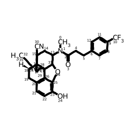 CN(C(=O)CCc1ccc(C(F)(F)F)cc1)C1CC[C@@]2(O)[C@H]3Cc4ccc(O)c5c4[C@@]2(CC(C#N)N3C)C1O5